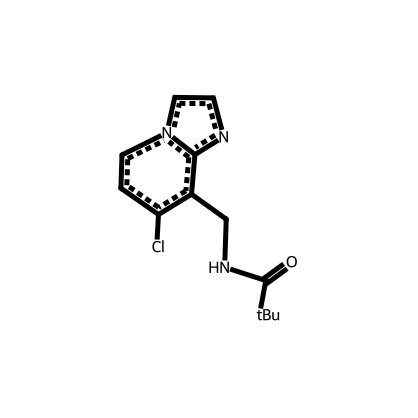 CC(C)(C)C(=O)NCc1c(Cl)ccn2ccnc12